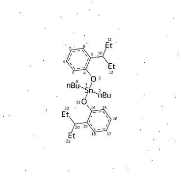 CCC[CH2][Sn]([CH2]CCC)([O]c1ccccc1C(CC)CC)[O]c1ccccc1C(CC)CC